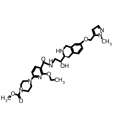 CCOc1nc(N2CCN(C(=O)OC)CC2)ccc1C(=O)NC[C@@H](O)[C@@H]1Cc2ccc(OCc3ccnn3C)cc2CN1